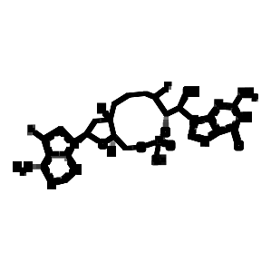 Nc1nc2c(ncn2[C@H](O)[C@@H]2OP(=O)(S)OC[C@H]3O[C@@H](n4cc(F)c5c(N)ncnc54)C[C@@H]3CCCC2F)c(=O)[nH]1